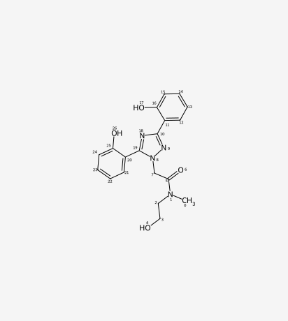 CN(CCO)C(=O)Cn1nc(-c2ccccc2O)nc1-c1ccccc1O